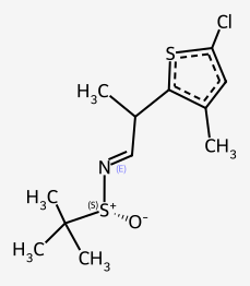 Cc1cc(Cl)sc1C(C)/C=N/[S@+]([O-])C(C)(C)C